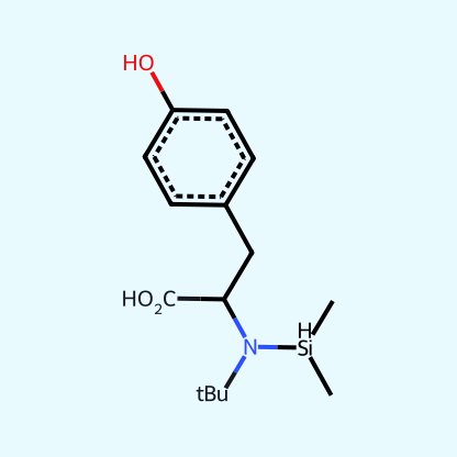 C[SiH](C)N(C(Cc1ccc(O)cc1)C(=O)O)C(C)(C)C